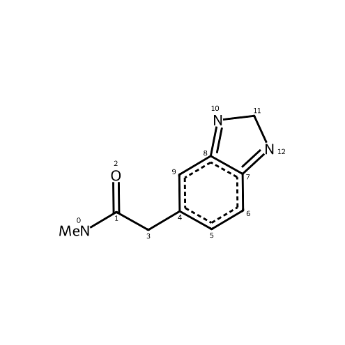 CNC(=O)Cc1ccc2c(c1)=NCN=2